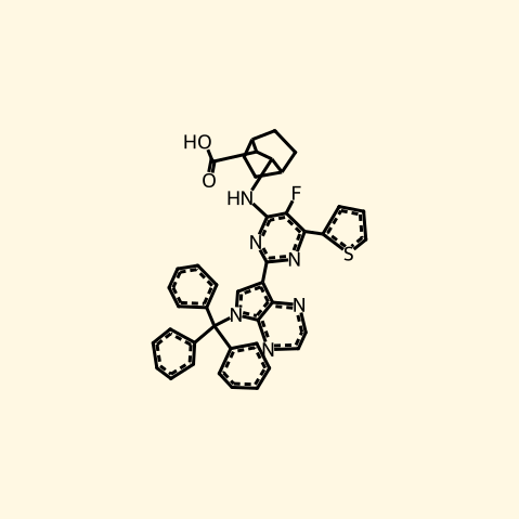 O=C(O)C1C2CCC(CC2)C1Nc1nc(-c2cn(C(c3ccccc3)(c3ccccc3)c3ccccc3)c3nccnc23)nc(-c2cccs2)c1F